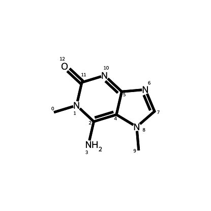 Cn1c(N)c2c(ncn2C)nc1=O